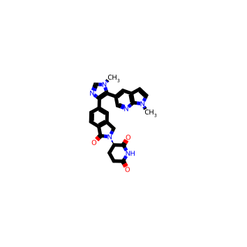 Cn1cnc(-c2ccc3c(c2)CN([C@H]2CCC(=O)NC2=O)C3=O)c1-c1cnc2c(ccn2C)c1